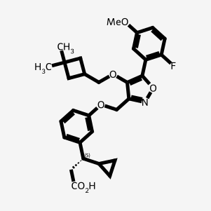 COc1ccc(F)c(-c2onc(COc3cccc([C@@H](CC(=O)O)C4CC4)c3)c2OCC2CC(C)(C)C2)c1